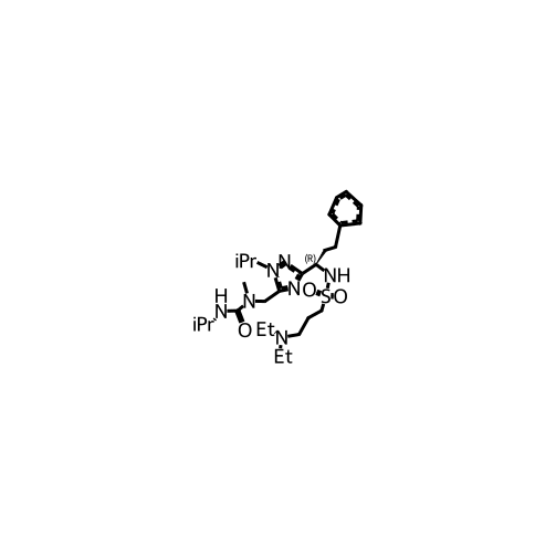 CCN(CC)CCCS(=O)(=O)N[C@H](CCc1ccccc1)c1nc(CN(C)C(=O)NC(C)C)n(C(C)C)n1